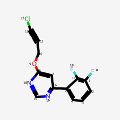 Fc1cccc(-c2cc(OCC#CCl)ncn2)c1F